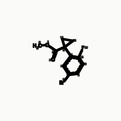 COC(=O)C1(c2cc(Br)ccc2F)CC1